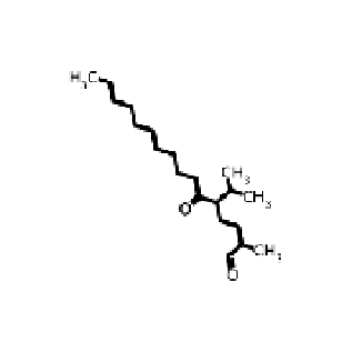 CCCCCCCCCCC(=O)C(CCC(C)C=O)C(C)C